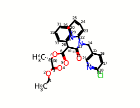 CCOC(=O)[C@H](C)OC(=O)C(C(=O)N(Cc1ccc(Cl)nc1)c1ccccn1)c1ccccc1